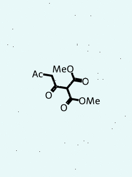 COC(=O)C(C(=O)CC(C)=O)C(=O)OC